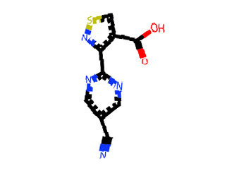 N#Cc1cnc(-c2nscc2C(=O)O)nc1